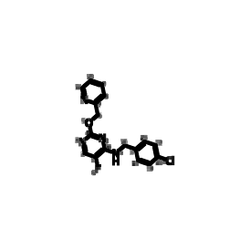 Fc1cnc(OCc2ccccn2)nc1NCc1ccc(Cl)cc1